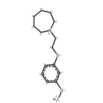 COc1cccc(OCCN2CCCCCC2)c1